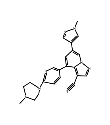 CN1CCN(c2ccc(-c3cc(-c4cnn(C)c4)cn4ncc(C#N)c34)cn2)CC1